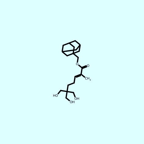 CC(=CCCC(CO)(CO)CO)C(=O)OCC12CC3CC(CC(C3)C1)C2